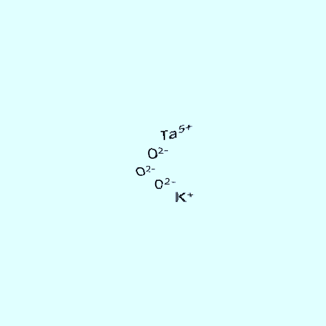 [K+].[O-2].[O-2].[O-2].[Ta+5]